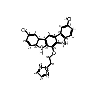 ClC1=CC2c3cc4c([nH]c5ccc(Cl)cc54)c(OCCn4nccn4)c3NC2C=C1